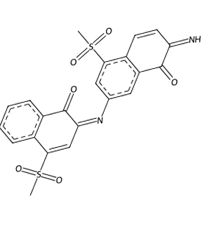 CS(=O)(=O)C1=C/C(=N/c2cc3c(c(S(C)(=O)=O)c2)C=CC(=N)C3=O)C(=O)c2ccccc21